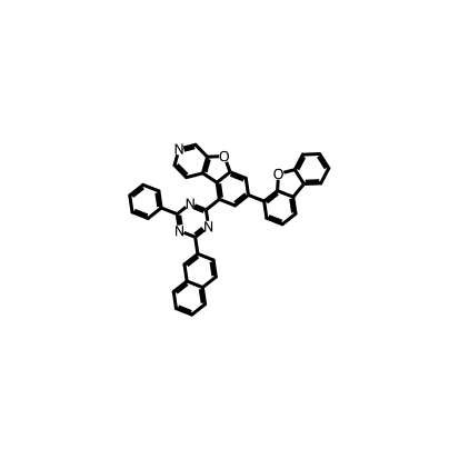 c1ccc(-c2nc(-c3ccc4ccccc4c3)nc(-c3cc(-c4cccc5c4oc4ccccc45)cc4oc5cnccc5c34)n2)cc1